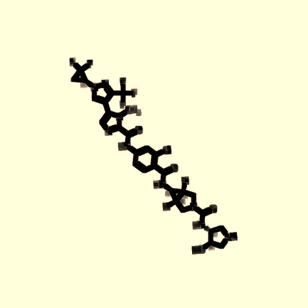 Cn1c(-c2cn([C@H]3CC3(F)F)nc2C(F)(F)F)cnc1C(=O)Nc1ccc(C(=O)N[C@H]2[C@@H]3CN(C(=O)N[C@@H]4CNC[C@H]4O)C[C@@H]32)c(Cl)c1